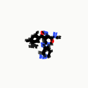 CCNC(=O)c1noc(-c2cc(C(C)C)c(C)cc2C)c1-c1nc2c(n1C)CCNC2